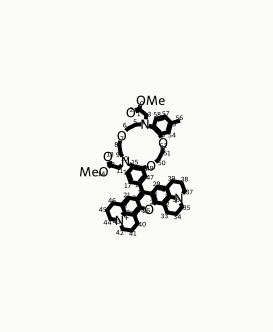 COC(=O)CN1CCOCCN(CC(=O)OC)c2ccc(C3=c4cc5c6c(c4Oc4c3cc3c7c4CCCN7CCC3)CCC[N+]=6CCC5)cc2OCCOc2cc(C)ccc21